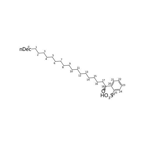 CCCCCCCCCCCCCCCCCCCCCCCCCCCC(=O)c1ccccc1S(=O)(=O)O